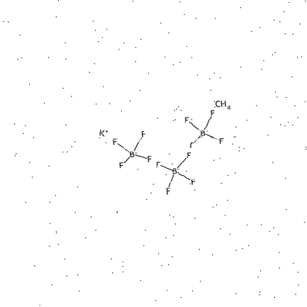 C.F[B-](F)(F)F.F[B-](F)(F)F.F[B-](F)(F)F.[K+]